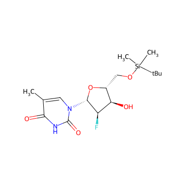 Cc1cn([C@@H]2O[C@H](CO[Si](C)(C)C(C)(C)C)[C@@H](O)[C@H]2F)c(=O)[nH]c1=O